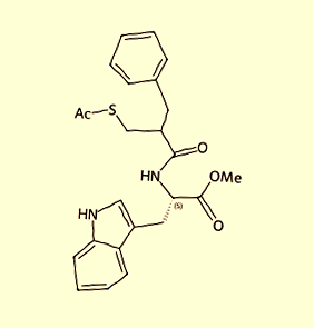 COC(=O)[C@H](Cc1c[nH]c2ccccc12)NC(=O)C(CSC(C)=O)Cc1ccccc1